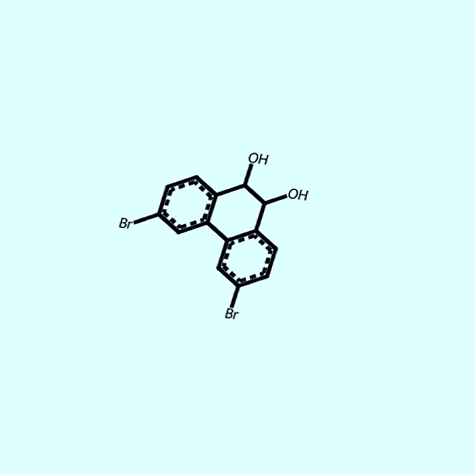 OC1c2ccc(Br)cc2-c2cc(Br)ccc2C1O